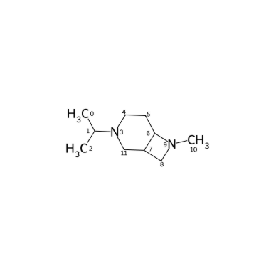 CC(C)N1CCC2C(CN2C)C1